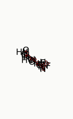 C#Cc1c(F)ccc2cccc(-c3ncc4c(N5CC6CCC(C5)N6)nc(OC[C@@]56CCCN5[C@H](CC57CCC(CN(C(=O)O)C5)C7CN5CCC(c7ccc8c(c7)n(C)c(=O)n8C7CCC(=O)NC7=O)CC5)CC6)nc4c3F)c12